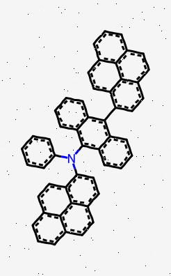 c1ccc(N(c2c3ccccc3c(-c3ccc4ccc5cccc6ccc3c4c56)c3ccccc23)c2ccc3ccc4cccc5ccc2c3c45)cc1